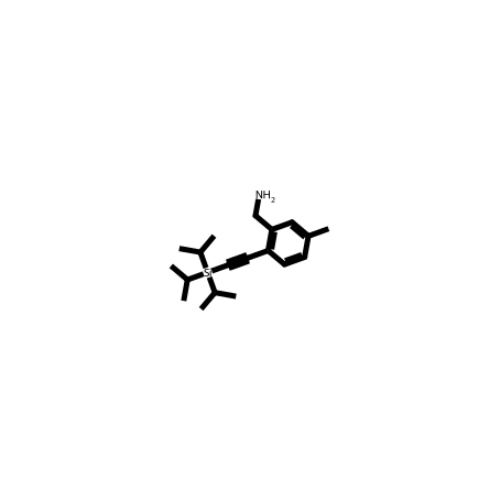 Cc1ccc(C#C[Si](C(C)C)(C(C)C)C(C)C)c(CN)c1